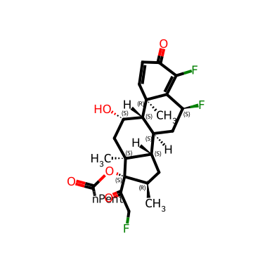 CCCCCC(=O)O[C@@]1(C(=O)CF)[C@H](C)C[C@H]2[C@@H]3C[C@H](F)C4=C(F)C(=O)C=C[C@]4(C)[C@H]3[C@@H](O)C[C@@]21C